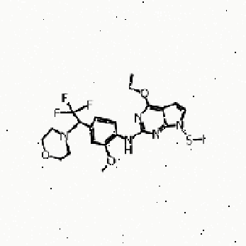 CCOc1nc(Nc2ccc(C(N3CCOCC3)C(F)(F)F)cc2OC)nc2c1ccn2SI